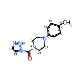 Cc1ccc(N2CCN(C(=O)n3ccnn3)CC2)cc1